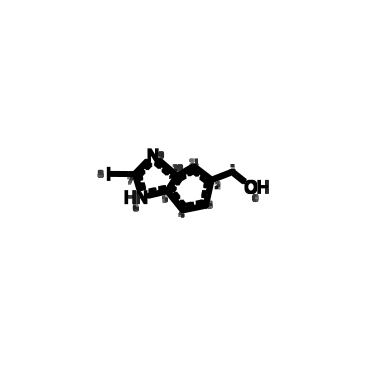 OCc1ccc2[nH]c(I)nc2c1